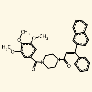 COc1cc(C(=O)N2CCN(C(=O)C=C(c3ccccc3)c3ccc4ccccc4c3)CC2)cc(OC)c1OC